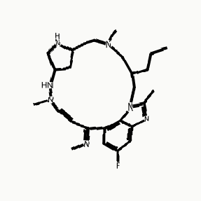 CCCC1CN(C)CC2CC(CN2)NN(C)/C=C\C(=N/C)c2cc(F)cc3nc(C)n(c23)C1